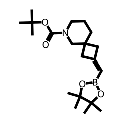 CC(C)(C)OC(=O)N1CCCC2(CC(=CB3OC(C)(C)C(C)(C)O3)C2)C1